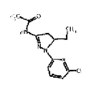 CCC1CC(NC(C)=O)=NN1c1cccc(Cl)n1